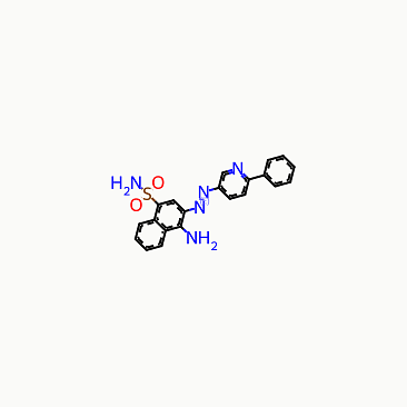 Nc1c(/N=N/c2ccc(-c3ccccc3)nc2)cc(S(N)(=O)=O)c2ccccc12